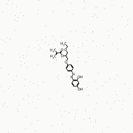 C=C(C)C(=O)OC(COCC)COc1ccc(N=Nc2ccc(O)cc2O)cc1